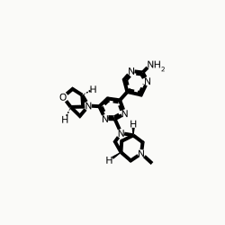 CN1C[C@H]2C[C@@H](C1)N(c1nc(-c3cnc(N)nc3)cc(N3C[C@@H]4C[C@H]3CO4)n1)C2